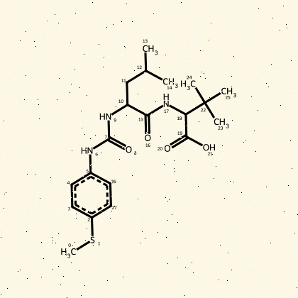 CSc1ccc(NC(=O)NC(CC(C)C)C(=O)NC(C(=O)O)C(C)(C)C)cc1